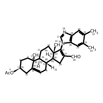 CC(=O)O[C@H]1CC[C@@]2(C)C(=CC[C@@H]3[C@@H]2CC[C@]2(C)C(n4cnc5cc(C)c(C)cc54)=C(C=O)C[C@@H]32)C1